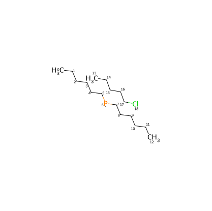 CCCCCC[P]CCCCCC.CCCCCCl